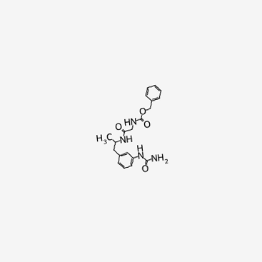 CC(Cc1cccc(NC(N)=O)c1)NC(=O)CNC(=O)OCc1ccccc1